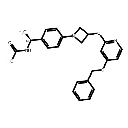 CC(=O)N[C@@H](C)c1ccc(N2CC(Oc3cc(OCc4ccccc4)ccn3)C2)cc1